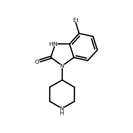 CCc1cccc2c1[nH]c(=O)n2C1CCNCC1